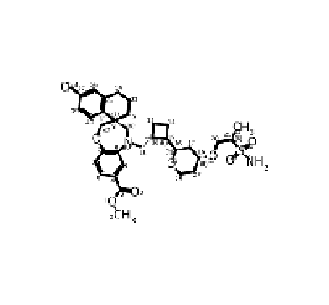 COC(=O)c1ccc2c(c1)N(C[C@@H]1CC[C@H]1[C@H]1C[C@H](OC[C@@H](C)S(N)(=O)=O)CCO1)C[C@@]1(CCCc3cc(Cl)ccc31)CO2